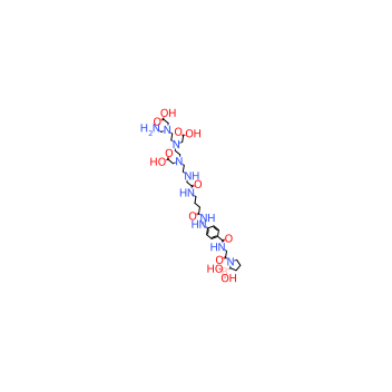 NCN(CCN(CCN(CCNCC(=O)NCCCC(=O)NNc1ccc(C(=O)NCC(=O)N2CCC[C@H]2B(O)O)cc1)CC(=O)O)CC(=O)O)CC(=O)O